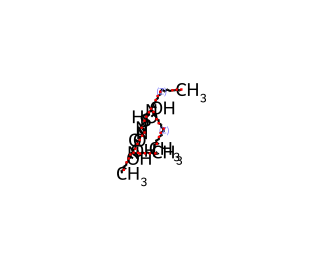 CCCCCCCC/C=C\CCCCCCC(O)CN(CCCSSCCN1CCN(CCOC(=O)CCCCN(CC(O)CCCCCCCC)CC(O)CCCCCCCC)CC1)CC(O)CCCCCC/C=C\CCCCCCCC